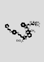 CCOC(=O)c1nc(N2CCCc3c2nnc(/N=c2\sc4ccccc4n2COCC[Si](C)(C)C)c3C)sc1CCCOc1ccc(OCCN2CCCC2)cc1